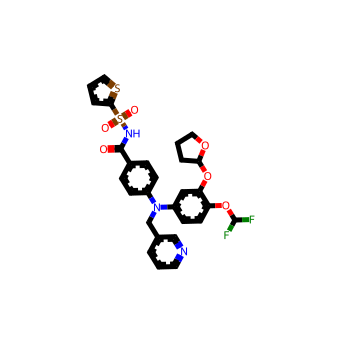 O=C(NS(=O)(=O)c1cccs1)c1ccc(N(Cc2cccnc2)c2ccc(OC(F)F)c(OC3CCCO3)c2)cc1